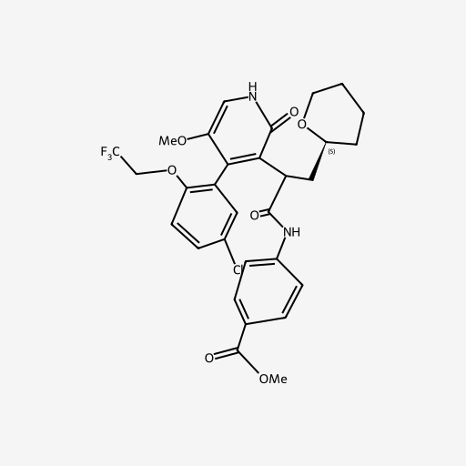 COC(=O)c1ccc(NC(=O)C(C[C@@H]2CCCCO2)c2c(-c3cc(Cl)ccc3OCC(F)(F)F)c(OC)c[nH]c2=O)cc1